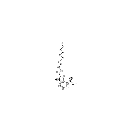 CCCCCCCCCCCC1Cc2c(cccc2C(=O)O)N1